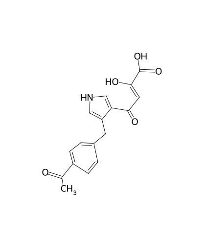 CC(=O)c1ccc(Cc2c[nH]cc2C(=O)/C=C(\O)C(=O)O)cc1